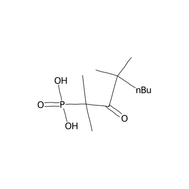 CCCCC(C)(C)C(=O)C(C)(C)P(=O)(O)O